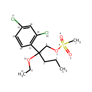 CCCC(COS(C)(=O)=O)(OCC)c1ccc(Cl)cc1Cl